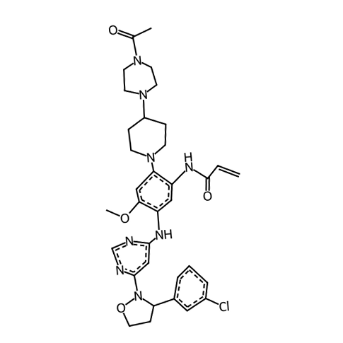 C=CC(=O)Nc1cc(Nc2cc(N3OCCC3c3cccc(Cl)c3)ncn2)c(OC)cc1N1CCC(N2CCN(C(C)=O)CC2)CC1